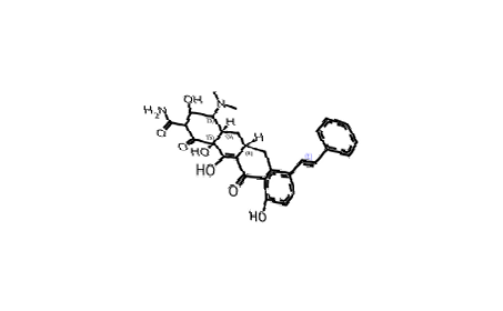 CN(C)[C@@H]1C(O)C(C(N)=O)C(=O)[C@@]2(O)C(O)=C3C(=O)c4c(O)ccc(/C=C/c5ccccc5)c4C[C@H]3C[C@@H]12